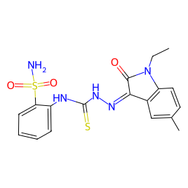 CCN1C(=O)C(=NNC(=S)Nc2ccccc2S(N)(=O)=O)c2cc(C)ccc21